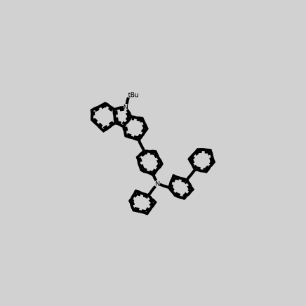 CC(C)(C)n1c2ccccc2c2cc(-c3ccc(N(c4ccccc4)c4cccc(-c5ccccc5)c4)cc3)ccc21